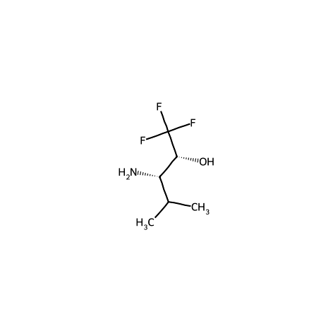 CC(C)[C@H](N)[C@@H](O)C(F)(F)F